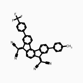 Cc1ccc(-c2ccc3c(c2)C(=C(C#N)C#N)c2ccc4c(c2-3)-c2ccc(-c3ccc(C(F)(F)F)cc3)cc2C4=C(C#N)C#N)cc1